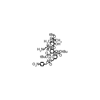 CN(C(=O)OC(C)(C)C)[C@@H]1[C@@H](O)[C@@H](O[C@H]2[C@H](NS(=O)(=O)CCN)C[C@H](NC(=O)OC(C)(C)C)C([C@H]3OC(CNC(=O)OCc4ccc([N+](=O)[O-])cc4)=CC[C@H]3NC(=O)OC(C)(C)C)[C@@H]2O)OC[C@]1(C)O